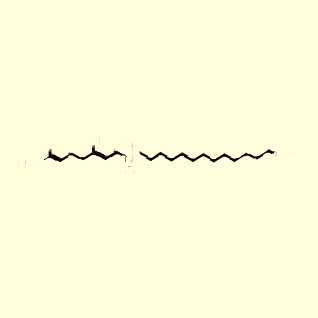 CCCCCCCCCCCCCC[NH+]([O-])C/C=C(\C)CCC=C(C)C